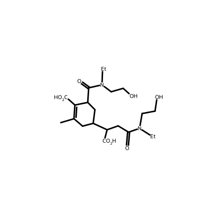 CCN(CCO)C(=O)CC(C(=O)O)C1CC(C)=C(C(=O)O)C(C(=O)N(CC)CCO)C1